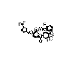 COc1nc(C(=O)N2CC[C@]3(c4cccc(F)c4)OCO[C@@H]3C2)ccc1OC[C@H]1CCC(C(F)F)C1